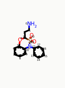 NCCC1Oc2ccccc2N(c2ccccc2)S1(=O)=O